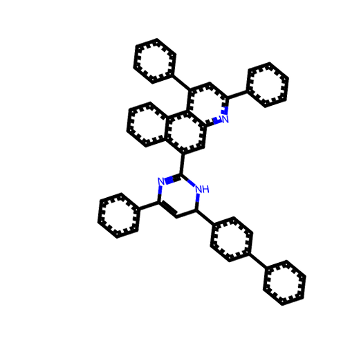 C1=C(c2ccccc2)N=C(c2cc3nc(-c4ccccc4)cc(-c4ccccc4)c3c3ccccc23)NC1c1ccc(-c2ccccc2)cc1